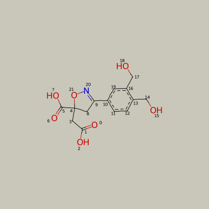 O=C(O)CC1(C(=O)O)CC(c2ccc(CO)c(CO)c2)=NO1